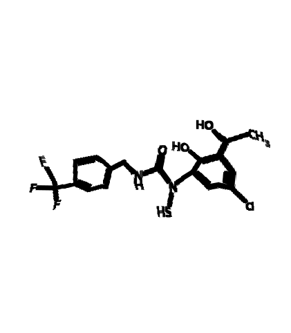 CC(O)c1cc(Cl)cc(N(S)C(=O)NCc2ccc(C(F)(F)F)cc2)c1O